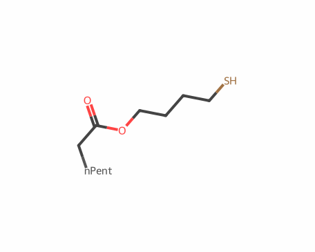 CCCCCCC(=O)OCCCCS